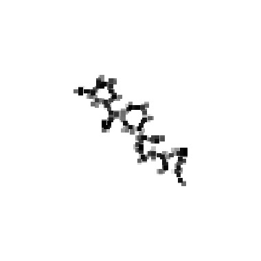 Cc1c[nH]c(-c2noc([C@H]3CCCN(C(=O)c4ccnc(F)c4)C3)n2)c1